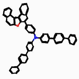 c1ccc(-c2ccc(-c3ccc(N(c4ccc(-c5ccc(-c6ccccc6)cc5)cc4)c4ccc(-c5cc6ccccc6c6c5oc5ccc7ccccc7c56)cc4)cc3)cc2)cc1